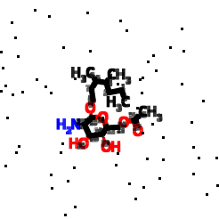 CCCC(C)C(C)CCO[C@@H]1OC(COC(C)=O)[C@H](O)C(O)[C@@H]1N